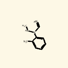 CNN(C=N)c1ccccc1C